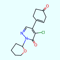 O=C1CC=C(c2cnn(C3CCCCO3)c(=O)c2Cl)CC1